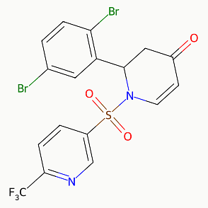 O=C1C=CN(S(=O)(=O)c2ccc(C(F)(F)F)nc2)C(c2cc(Br)ccc2Br)C1